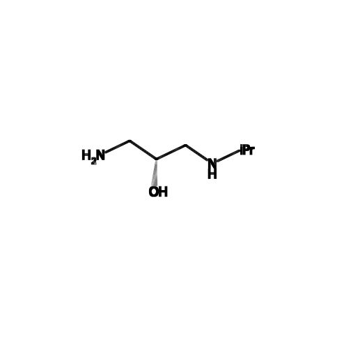 CC(C)NC[C@H](O)CN